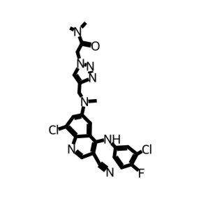 CN(C)C(=O)Cn1cc(CN(C)c2cc(Cl)c3ncc(C#N)c(Nc4ccc(F)c(Cl)c4)c3c2)nn1